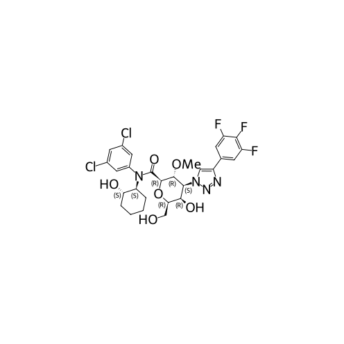 CO[C@@H]1[C@@H](n2cc(-c3cc(F)c(F)c(F)c3)nn2)[C@@H](O)[C@@H](CO)O[C@H]1C(=O)N(c1cc(Cl)cc(Cl)c1)[C@H]1CCCC[C@@H]1O